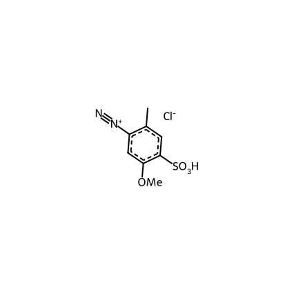 COc1cc([N+]#N)c(C)cc1S(=O)(=O)O.[Cl-]